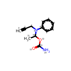 C#CCN(c1ccccc1)C(C)OC(N)=O